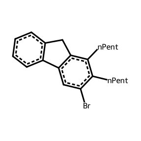 CCCCCc1c(Br)cc2c(c1CCCCC)Cc1ccccc1-2